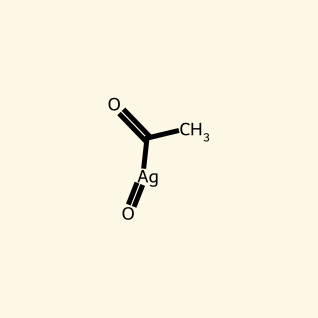 C[C](=O)[Ag]=[O]